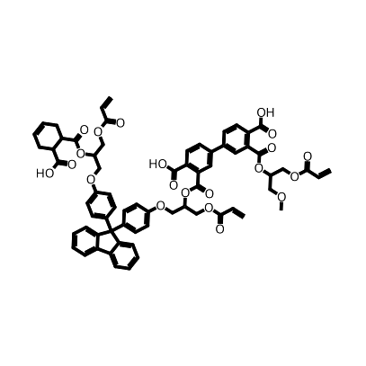 C=CC(=O)OCC(COC)OC(=O)c1cc(-c2ccc(C(=O)O)c(C(=O)OC(COC(=O)C=C)COc3ccc(C4(c5ccc(OCC(COC(=O)C=C)OC(=O)C6CC=CCC6C(=O)O)cc5)c5ccccc5-c5ccccc54)cc3)c2)ccc1C(=O)O